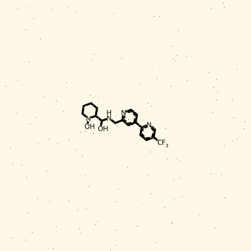 OC(NCc1cc(-c2ccc(C(F)(F)F)cn2)ccn1)C1CCCCN1O